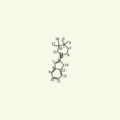 CC1(C)CCB(C2=Cc3ccccc3C2)CC1(C)C